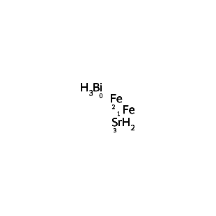 [BiH3].[Fe].[Fe].[SrH2]